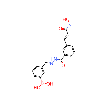 O=C(/C=C/c1cccc(C(=O)N/N=C/c2cccc(B(O)O)c2)c1)NO